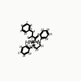 C=C(C(C)Cc1ccccc1)P1(=N)N(c2ccccc2)CCN1c1ccccc1